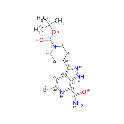 CC(C)(C)OC(=O)N1CCC(c2n[nH]c3c(C(N)=O)nc(Br)cc23)CC1